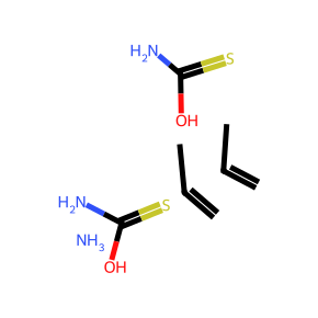 C=CC.C=CC.N.NC(O)=S.NC(O)=S